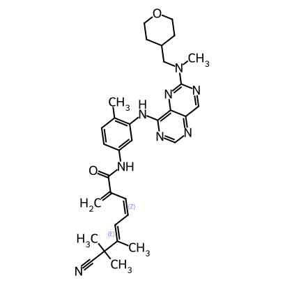 C=C(/C=C\C=C(/C)C(C)(C)C#N)C(=O)Nc1ccc(C)c(Nc2ncnc3cnc(N(C)CC4CCOCC4)nc23)c1